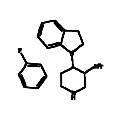 CCCC1CNCCC1N1CCc2ccccc21.Fc1ccccc1